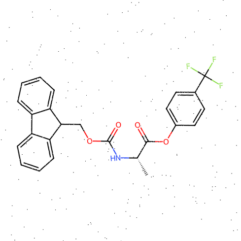 C[C@H](NC(=O)OCC1c2ccccc2-c2ccccc21)C(=O)Oc1ccc(C(F)(F)F)cc1